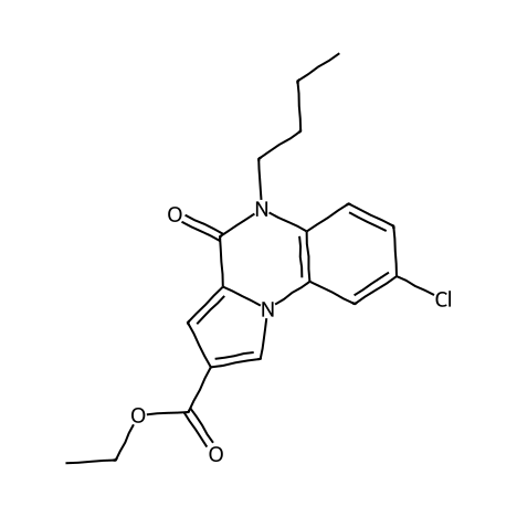 CCCCn1c(=O)c2cc(C(=O)OCC)cn2c2cc(Cl)ccc21